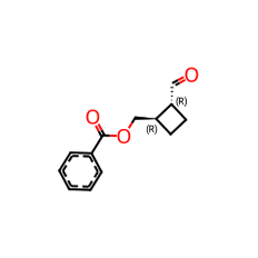 O=C[C@@H]1CC[C@H]1COC(=O)c1ccccc1